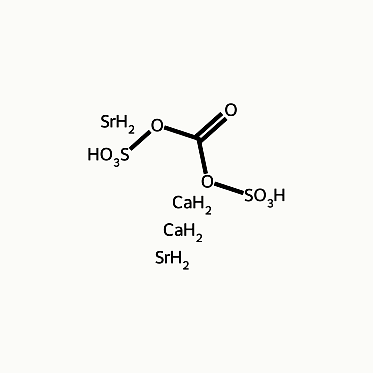 O=C(OS(=O)(=O)O)OS(=O)(=O)O.[CaH2].[CaH2].[SrH2].[SrH2]